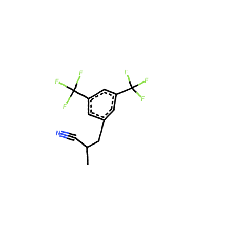 CC(C#N)Cc1cc(C(F)(F)F)cc(C(F)(F)F)c1